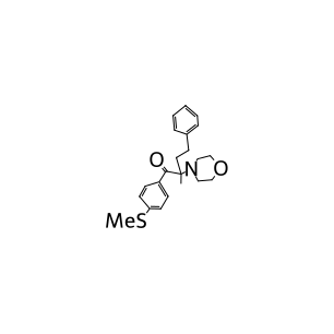 CSc1ccc(C(=O)C(C)(CCc2ccccc2)N2CCOCC2)cc1